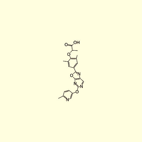 Cc1ccc(Oc2ncc3nc(-c4cc(C)c(OC(C)C(=O)O)c(C)c4)oc3n2)cn1